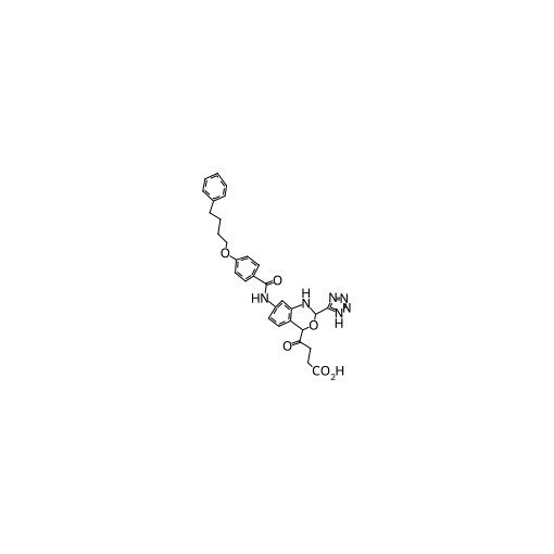 O=C(O)CCC(=O)C1OC(c2nnn[nH]2)Nc2cc(NC(=O)c3ccc(OCCCCc4ccccc4)cc3)ccc21